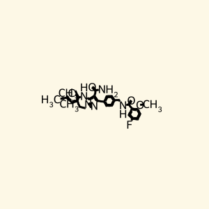 COc1ccc(F)cc1C(=O)NCc1ccc(-c2nn3c(c2C(N)=O)Nc2ccc(C(C)(C)C)cc2CC3)cc1